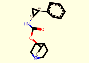 O=C(N[C@@H]1C[C@H]1c1ccccc1)OC1CN2CCC1CC2